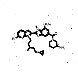 CCc1ccc2cc(-c3nc4cc(C(=O)N5CCCC(N)C5)cc(OC)c4n3C)n(CCC(C)CCC3CC3)c2n1